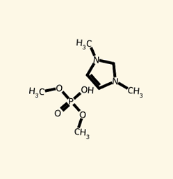 CN1C=CN(C)C1.COP(=O)(O)OC